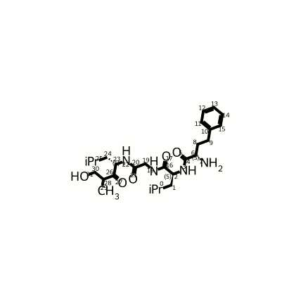 CC(C)C[C@H](NC(=O)[C@@H](N)CCc1ccccc1)C(=O)NCC(=O)N[C@@H](CC(C)C)C(=O)C(C)CO